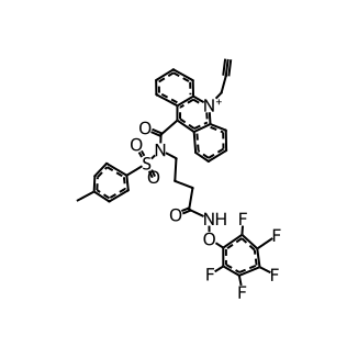 C#CC[n+]1c2ccccc2c(C(=O)N(CCCC(=O)NOc2c(F)c(F)c(F)c(F)c2F)S(=O)(=O)c2ccc(C)cc2)c2ccccc21